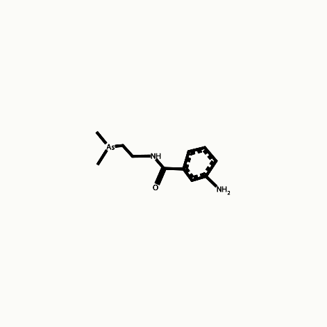 C[As](C)CCNC(=O)c1cccc(N)c1